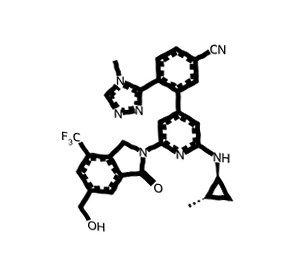 C[C@H]1C[C@@H]1Nc1cc(-c2cc(C#N)ccc2-c2nncn2C)cc(N2Cc3c(cc(CO)cc3C(F)(F)F)C2=O)n1